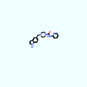 O=C(Nc1ccccn1)N1CCN(Cc2ccc3[nH]ccc3c2)CC1